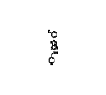 Fc1cccc(-c2cn3nc(NCc4ccncc4)sc3n2)c1